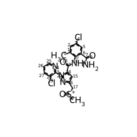 Cc1cc(Cl)cc(C(N)=O)c1NC(=O)c1cc(C[S+](C)[O-])nn1-c1ncccc1Cl